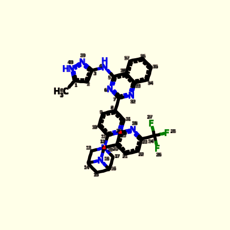 Cc1cc(Nc2nc(-c3ccc(N4CC5CC(C4)N5Cc4ccc(C(F)(F)F)nc4)nc3)nc3ccccc23)n[nH]1